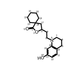 O=C1OC(CCN2CCCc3ccc(O)cc32)CC12CCCCC2